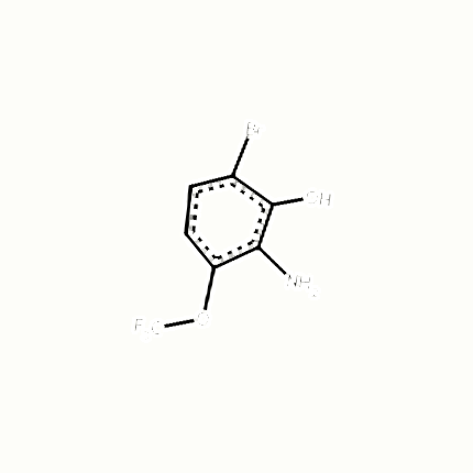 Nc1c(OC(F)(F)F)ccc(Br)c1O